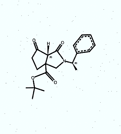 C[C@H](c1ccccc1)N1CC2(C(=O)OC(C)(C)C)CCC(=O)[C@@H]2C1=O